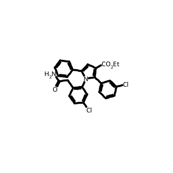 CCOC(=O)c1cc(-c2ccccc2)n(-c2cc(Cl)ccc2CC(N)=O)c1-c1cccc(Cl)c1